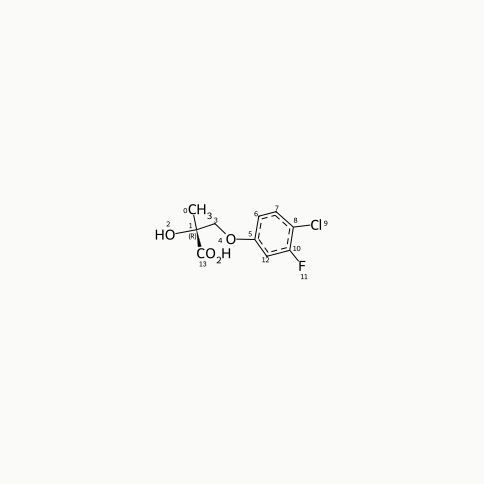 C[C@@](O)(COc1ccc(Cl)c(F)c1)C(=O)O